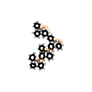 [PH2][Pd]([c]1ccccc1)([c]1ccccc1)[c]1ccccc1.[PH2][Pd]([c]1ccccc1)([c]1ccccc1)[c]1ccccc1.[PH2][Pd]([c]1ccccc1)([c]1ccccc1)[c]1ccccc1.[PH2][Pd]([c]1ccccc1)([c]1ccccc1)[c]1ccccc1